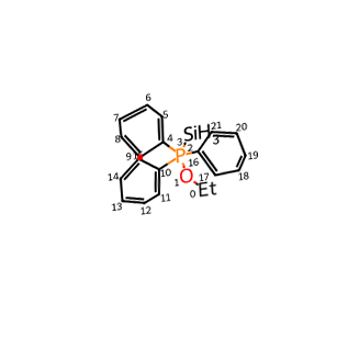 CCOP([SiH3])(c1ccccc1)(c1ccccc1)c1ccccc1